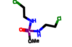 COP(=O)(NCCCl)NCCCl